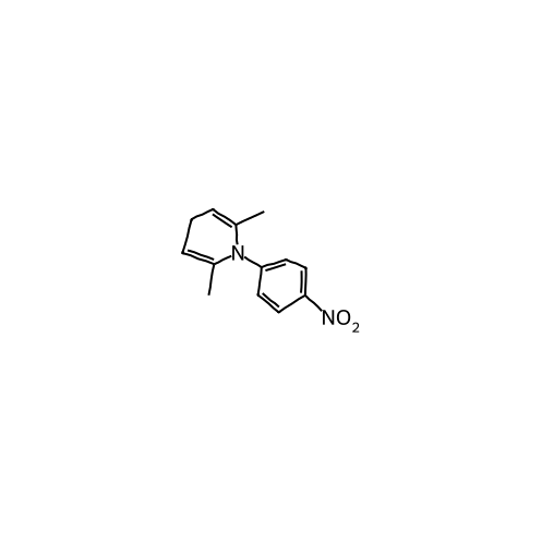 CC1=CCC=C(C)N1c1ccc([N+](=O)[O-])cc1